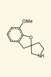 COc1cccc2c1OC1(CCNC1)C2